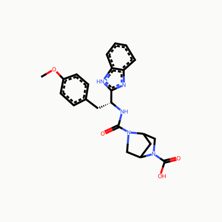 COc1ccc(C[C@@H](NC(=O)N2CC3CC2CN3C(=O)O)c2nc3ccccc3[nH]2)cc1